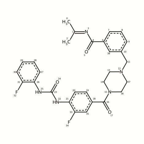 CC(C)=NC(=O)c1cccc(CN2CCN(C(=O)c3ccc(NC(=O)Nc4ccccc4F)c(F)c3)CC2)c1